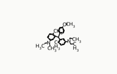 CCN(CC)c1ccc(C)c(C(c2ccc(OC)cc2)c2cc(N(CC)CC)ccc2C)c1